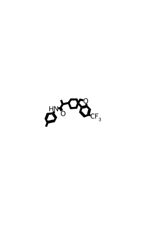 Cc1ccc(NC(=O)C(C)C2CCC3(CC2)COc2cc(C(F)(F)F)ccc23)cc1